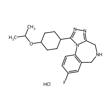 CC(C)OC1CCC(c2nnc3n2-c2ccc(F)cc2CNC3)CC1.Cl